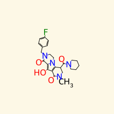 CN1CC(C(=O)N2CCCCC2)c2c(c(O)c3n2CCN(Cc2ccc(F)cc2)C3=O)C1=O